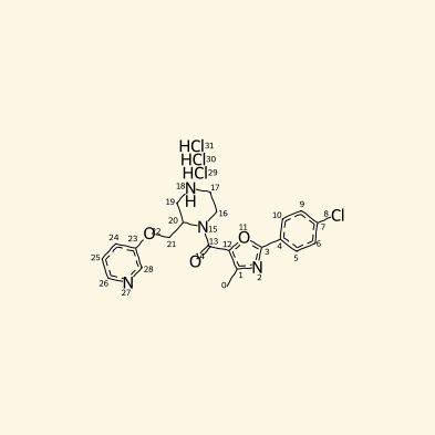 Cc1nc(-c2ccc(Cl)cc2)oc1C(=O)N1CCNCC1COc1cccnc1.Cl.Cl.Cl